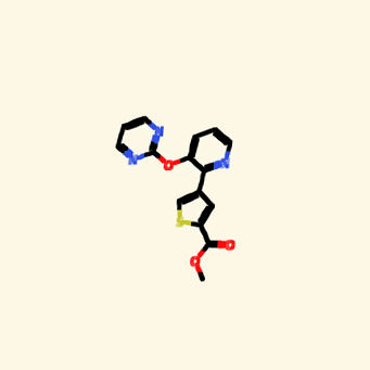 COC(=O)c1cc(-c2ncccc2Oc2ncccn2)cs1